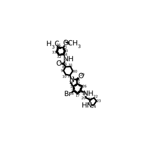 COc1cc(NC(=O)C2CCC(N3Cc4c(Br)cc(NCC5CCCN5)cc4C3=O)CC2)ccc1C